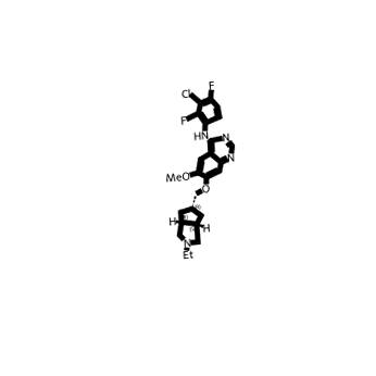 CCN1C[C@H]2C[C@@H](COc3cc4ncnc(Nc5ccc(F)c(Cl)c5F)c4cc3OC)C[C@H]2C1